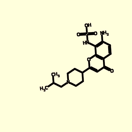 CC(C)CN1CCC(c2cc(=O)c3ccc(N)c(NS(=O)(=O)O)c3o2)CC1